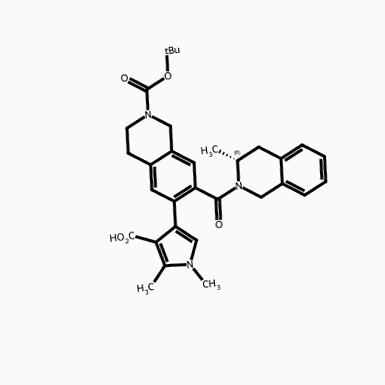 Cc1c(C(=O)O)c(-c2cc3c(cc2C(=O)N2Cc4ccccc4C[C@H]2C)CN(C(=O)OC(C)(C)C)CC3)cn1C